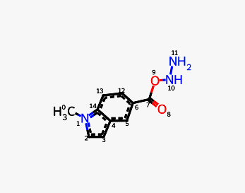 Cn1ccc2cc(C(=O)ONN)ccc21